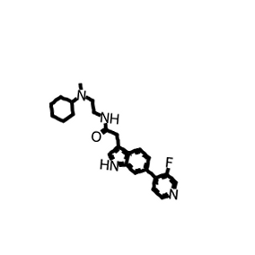 CN(CCNC(=O)Cc1c[nH]c2cc(-c3ccncc3F)ccc12)C1CCCCC1